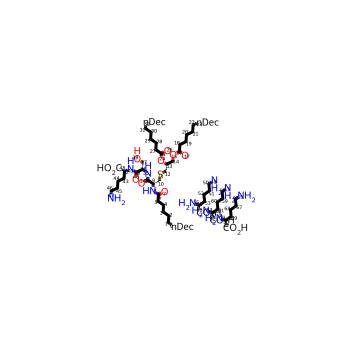 CCCCCCCCCCCCCCCC(=O)N[C@@H](CSC[C@@H](COC(=O)CCCCCCCCCCCCCCC)OC(=O)CCCCCCCCCCCCCCC)C(=O)N[C@@H](CO)C(=O)N[C@@H](CCCCN)C(=O)O.NCCCC[C@H](N)C(=O)O.NCCCC[C@H](N)C(=O)O.NCCCC[C@H](N)C(=O)O